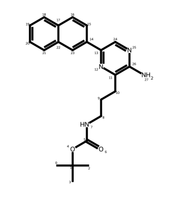 CC(C)(C)OC(=O)NCCCc1nc(-c2ccc3ccccc3c2)cnc1N